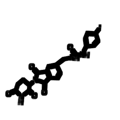 O=C1CCC(N2C(=O)c3ccc(CNC(=O)Nc4ccc(I)cc4)cc3C2=O)C(=O)N1